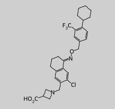 O=C(O)C1CN(Cc2cc3c(cc2Cl)/C(=N/OCc2ccc(C4CCCCC4)c(C(F)(F)F)c2)CCC3)C1